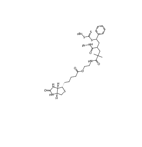 CCCCSC(=S)SC(CC(CC(C)(C)C(=O)NCCOC(=O)CCCC[C@@H]1SC[C@@H]2NC(=O)N[C@@H]21)C(=O)NC(C)C)c1ccccc1